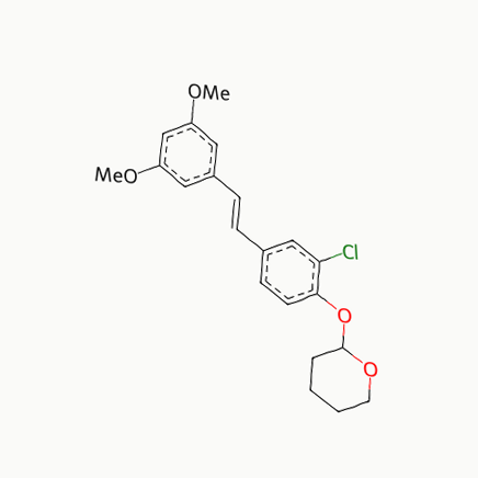 COc1cc(C=Cc2ccc(OC3CCCCO3)c(Cl)c2)cc(OC)c1